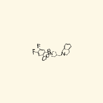 O=S(=O)(c1cc(F)c(F)cc1Cl)N1CCC(CN2CCc3ccccc3C2)CC1